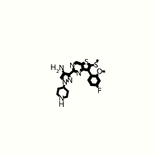 COc1cc(F)ccc1-c1c(SC)sc2cnc(-c3nn(C4CCNCC4)cc3N)nc12